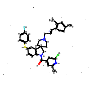 Cc1ccc(/C=C/CN2CCC3(CC2)CN(C(=O)c2cc(C)nc(Cl)c2)c2ccc(Sc4ccc(F)cc4)cc23)c(C)c1